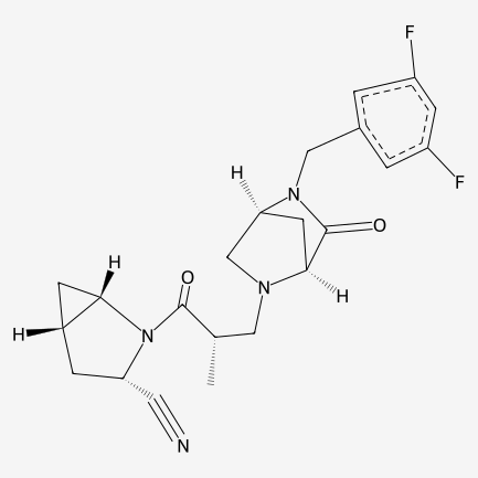 C[C@@H](CN1C[C@@H]2C[C@H]1C(=O)N2Cc1cc(F)cc(F)c1)C(=O)N1[C@H](C#N)C[C@@H]2C[C@@H]21